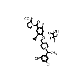 CC(c1cc(Cl)cc(Cl)c1)N1CCC(COc2cc(F)c(C(=O)N3CCC[C@H]3C(=O)O)cc2C2CC2)CC1.O=C(O)C(F)(F)F